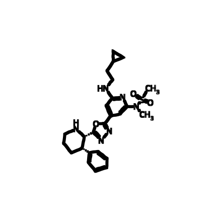 CN(c1cc(-c2nnc([C@H]3NCCC[C@H]3c3ccccc3)o2)cc(NCCC2CC2)n1)S(C)(=O)=O